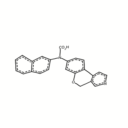 O=C(O)N(c1ccc2c(c1)OCc1cnccc1-2)c1ccc2ccccc2c1